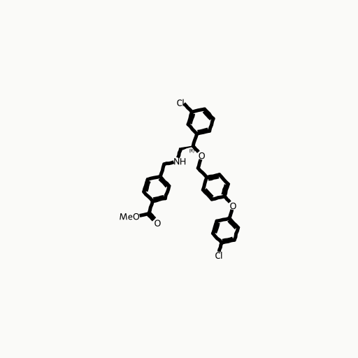 COC(=O)c1ccc(CNC[C@H](OCc2ccc(Oc3ccc(Cl)cc3)cc2)c2cccc(Cl)c2)cc1